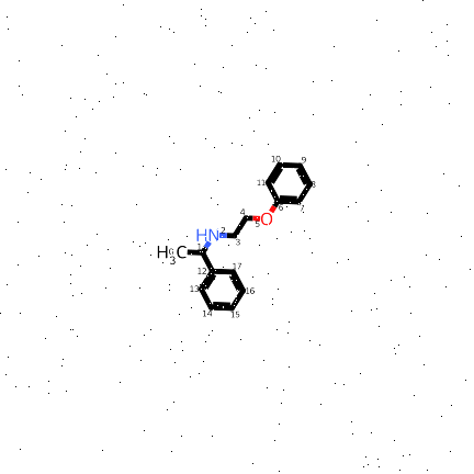 CC(NCCOc1ccccc1)c1ccccc1